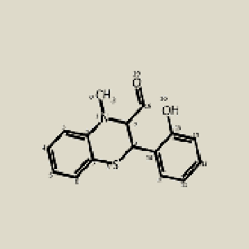 CN1c2ccccc2SC(c2ccccc2O)C1C=O